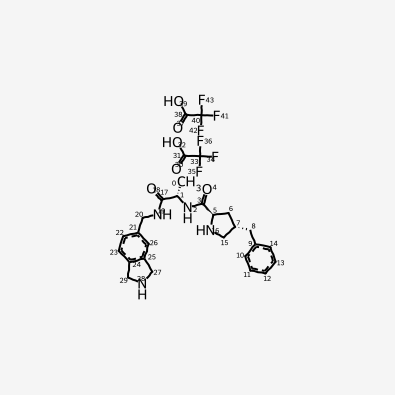 C[C@H](NC(=O)[C@H]1C[C@H](Cc2ccccc2)CN1)C(=O)NCc1ccc2c(c1)CNC2.O=C(O)C(F)(F)F.O=C(O)C(F)(F)F